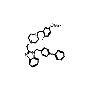 COc1ccc(F)c(CN2CCN(Cc3nc4ccccc4n3Cc3ccc(-c4ccccc4)cc3)CC2)c1